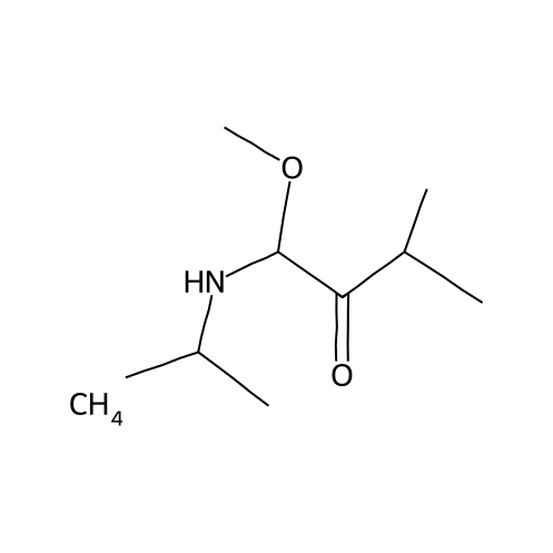 C.COC(NC(C)C)C(=O)C(C)C